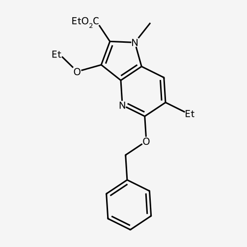 CCOC(=O)c1c(OCC)c2nc(OCc3ccccc3)c(CC)cc2n1C